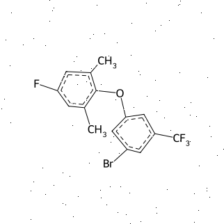 Cc1cc(F)cc(C)c1Oc1cc(Br)cc(C(F)(F)F)c1